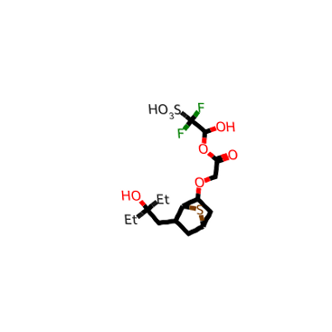 CCC(O)(CC)CC1CC2CC(OCC(=O)OC(O)C(F)(F)S(=O)(=O)O)C1S2